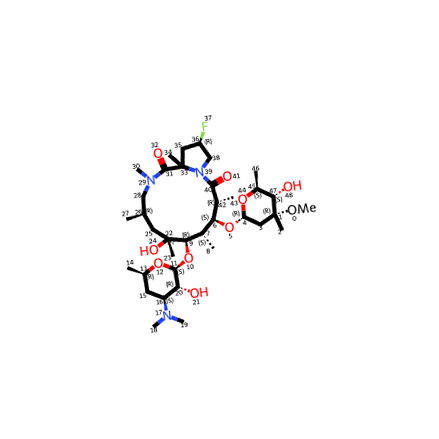 CO[C@]1(C)C[C@H](O[C@H]2[C@H](C)[C@@H](O[C@@H]3O[C@H](C)C[C@H](N(C)C)[C@H]3O)[C@](C)(O)C[C@@H](C)CN(C)C(=O)C3(C)C[C@@H](F)CN3C(=O)[C@@H]2C)O[C@@H](C)[C@@H]1O